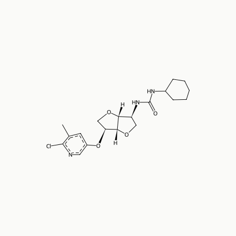 Cc1cc(O[C@H]2CO[C@H]3[C@@H]2OC[C@@H]3NC(=O)NC2CCCCC2)cnc1Cl